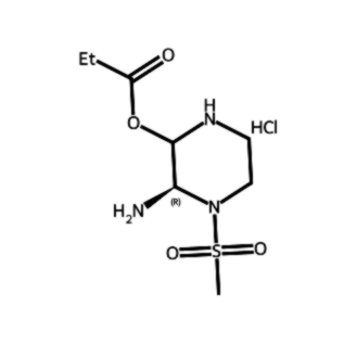 CCC(=O)OC1NCCN(S(C)(=O)=O)[C@H]1N.Cl